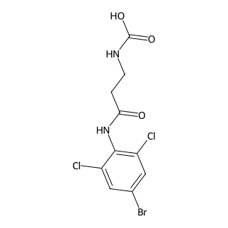 O=C(O)NCCC(=O)Nc1c(Cl)cc(Br)cc1Cl